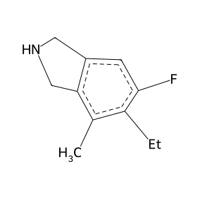 CCc1c(F)cc2c(c1C)CNC2